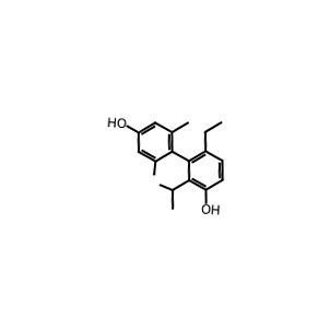 CCc1ccc(O)c(C(C)C)c1-c1c(C)cc(O)cc1C